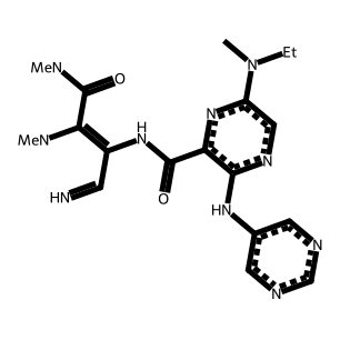 CCN(C)c1cnc(Nc2cncnc2)c(C(=O)N/C(C=N)=C(/NC)C(=O)NC)n1